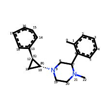 Cc1ccccc1C1CN([C@@H]2C[C@H]2c2ccccc2)CCN1C